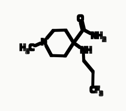 CN1CCC(NCCC(F)(F)F)(C(N)=O)CC1